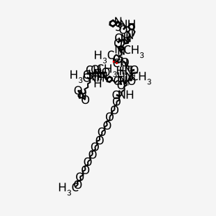 COCCOCCOCCOCCOCCOCCOCCOCCOCCOCCOCCOCC(=O)NCCCC[C@@H](NC(=O)OCc1ccc(NC(=O)[C@H](C)NC(=O)[C@@H](NC(=O)CCCCCN2C(=O)C=CC2=O)C(C)C)cc1)C(=O)N[C@H](C)C(=O)NCCOC1CC2(Cn3ncc(-c4ccc(N5CCc6cccc(C(=O)Nc7nc8ccccc8s7)c6C5)nc4C(=O)O)c3C)CC3(C)CCC1C(C)(C3)C2